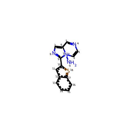 N[N+]12C=CN=CC1=CN=C2c1cc2ccccc2s1